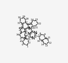 c1ccc(-c2nc(-c3ccc4ccccc4c3)nc(-n3c4ccccc4c4c5ccccc5c5sc6ccccc6c5c43)n2)cc1